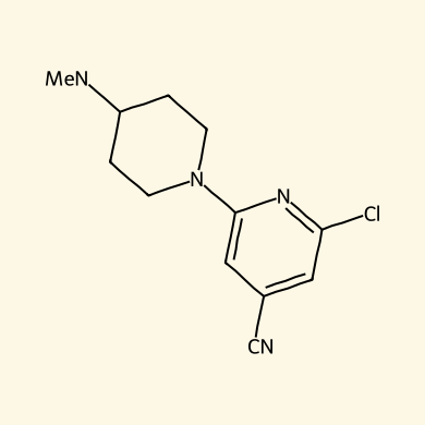 CNC1CCN(c2cc(C#N)cc(Cl)n2)CC1